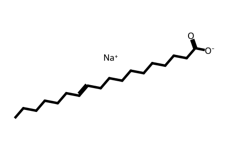 CCCCCCC=CCCCCCCCCCC(=O)[O-].[Na+]